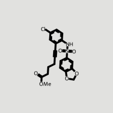 COC(=O)CCCC#Cc1cc(Cl)ccc1NS(=O)(=O)c1ccc2c(c1)OCO2